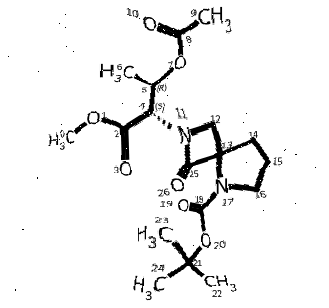 COC(=O)[C@H]([C@@H](C)OC(C)=O)N1CC2(CCCN2C(=O)OC(C)(C)C)C1=O